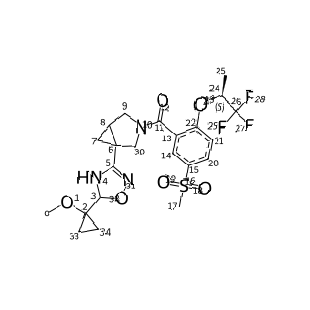 COC1(C2NC(C34CC3CN(C(=O)c3cc(S(C)(=O)=O)ccc3O[C@@H](C)C(F)(F)F)C4)=NO2)CC1